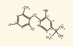 Cc1cc(F)cc(Cl)c1Oc1ncc(C(C)(C)O)cc1Br